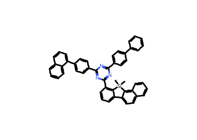 C[Si]1(C)c2c(-c3nc(-c4ccc(-c5ccccc5)cc4)nc(-c4ccc(-c5cccc6ccccc56)cc4)n3)cccc2-c2ccc3ccccc3c21